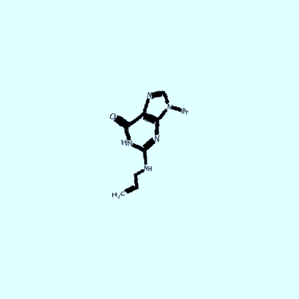 C=CCNc1nc2c(ncn2C(C)C)c(=O)[nH]1